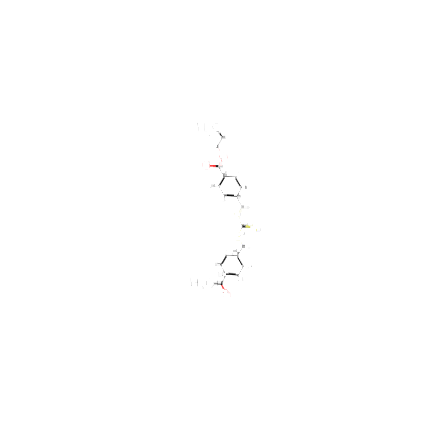 C=CCOC(=O)c1ccc(CSC(=S)SCc2ccc(C(C)=O)cc2)cc1